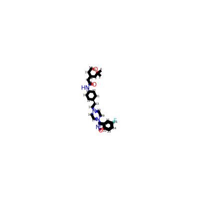 CC1(C)CC(CC(=O)N[C@H]2CC[C@H](CCN3CCN(c4noc5ccc(F)cc45)CC3)CC2)CCO1